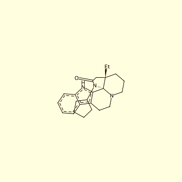 CC[C@@]12CCCN3CCc4c([nH]c5ccccc45)[C@]31N(C1CCCC1)C(=O)C2